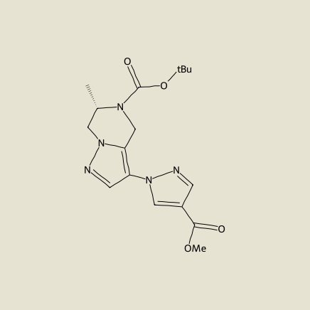 COC(=O)c1cnn(-c2cnn3c2CN(C(=O)OC(C)(C)C)[C@@H](C)C3)c1